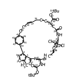 Cc1onc2c1C(=O)/N=C(\NC(=O)OC(C)(C)C)NCc1cc(Cl)c(c(Cl)c1)NC(=O)CN(C(=O)OC(C)(C)C)CCC/C=C/COc1ccc-2cc1